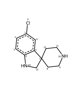 Clc1ccc2c(c1)C1(CCNCC1)CN2